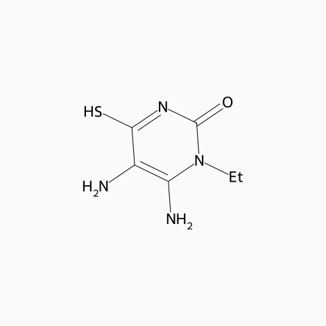 CCn1c(N)c(N)c(S)nc1=O